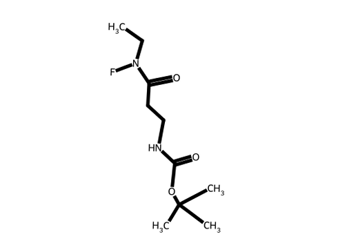 CCN(F)C(=O)CCNC(=O)OC(C)(C)C